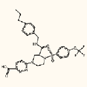 CCCc1ccc(CNC(=O)C2CN(c3ccc(C(=O)O)nn3)CCN2S(=O)(=O)c2ccc(OC(F)(F)F)cc2)cc1